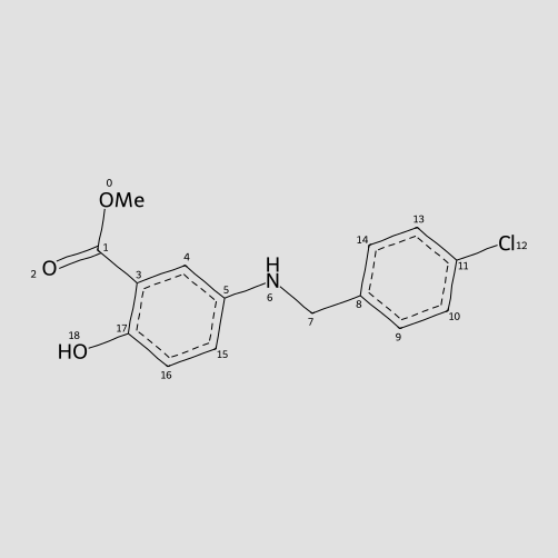 COC(=O)c1cc(NCc2ccc(Cl)cc2)ccc1O